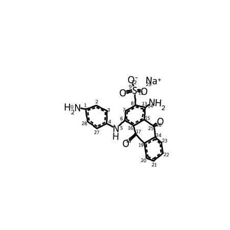 Nc1ccc(Nc2cc(S(=O)(=O)[O-])c(N)c3c2C(=O)c2ccccc2C3=O)cc1.[Na+]